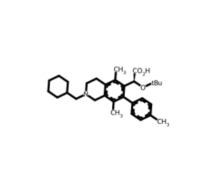 Cc1ccc(-c2c(C)c3c(c(C)c2[C@H](OC(C)(C)C)C(=O)O)CCN(CC2CCCCC2)C3)cc1